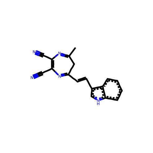 CC1=NC(C#N)=C(C#N)N=C(C=Cc2c[nH]c3ccccc23)C1